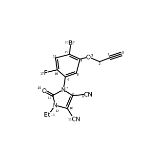 C#CCOc1cc(-n2c(C#N)c(C#N)n(CC)c2=O)c(F)cc1Br